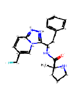 CC1(C(=O)N[C@H](Cc2ccccc2)c2nnc3ccc(CF)cn23)CCCN1